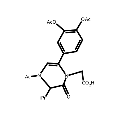 CC(=O)Oc1ccc(C2=CN(C(C)=O)C(C(C)C)C(=O)N2CC(=O)O)cc1OC(C)=O